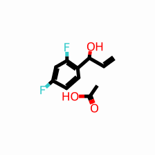 C=CC(O)c1ccc(F)cc1F.CC(=O)O